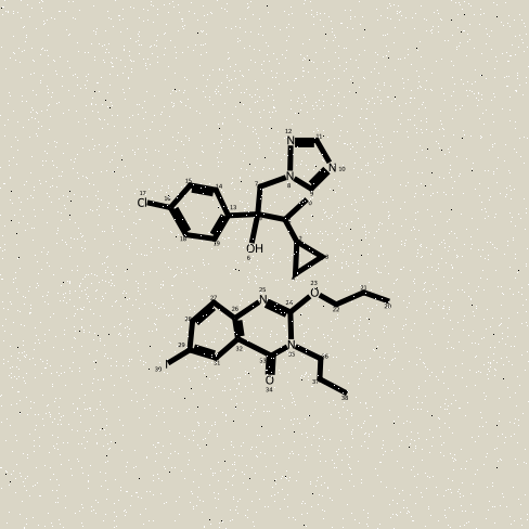 CC(C1CC1)C(O)(Cn1cncn1)c1ccc(Cl)cc1.CCCOc1nc2ccc(I)cc2c(=O)n1CCC